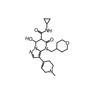 CN1CC=C(c2cnn3c2N(CC2CCOCC2)C(=O)C(C(=O)NC2CC2)C3O)CC1